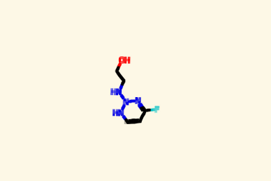 OCCNN1N=C(F)C=[C]N1